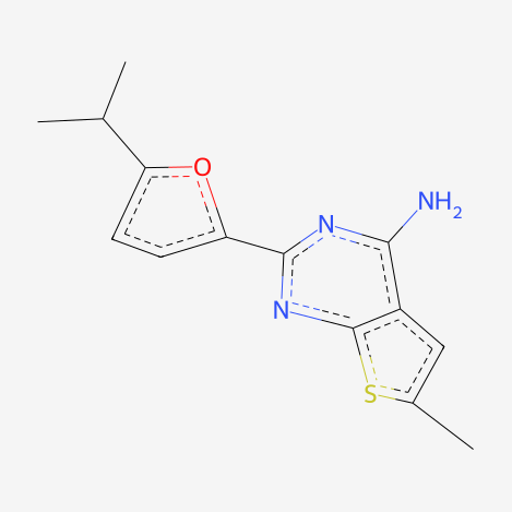 Cc1cc2c(N)nc(-c3ccc(C(C)C)o3)nc2s1